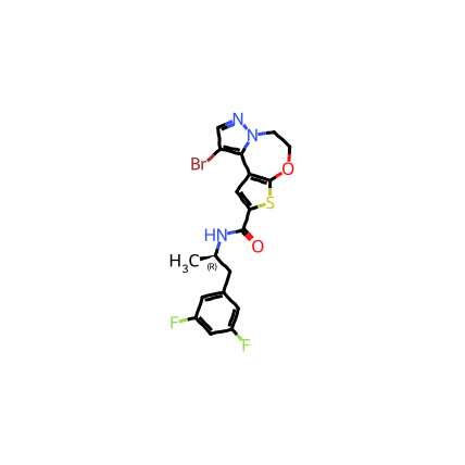 C[C@H](Cc1cc(F)cc(F)c1)NC(=O)c1cc2c(s1)OCCn1ncc(Br)c1-2